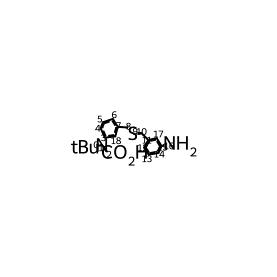 CC(C)(C)N(C(=O)O)c1cccc(CSCc2cccc(N)c2)c1